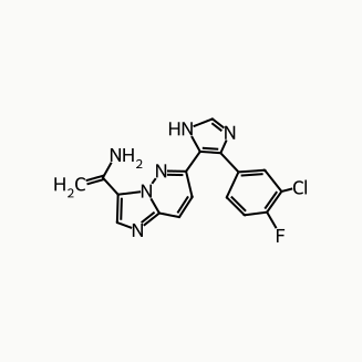 C=C(N)c1cnc2ccc(-c3[nH]cnc3-c3ccc(F)c(Cl)c3)nn12